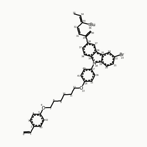 C=Cc1ccc(OCCCCCCOc2ccc(-n3c4ccc(Br)cc4c4cc(C(=C)/C=C\C(=C/C)C(C)(C)C)ccc43)cc2)cc1